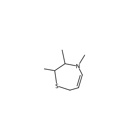 CC1SCC=CN(C)C1C